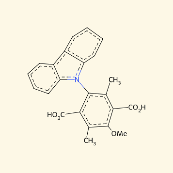 COc1c(C)c(C(=O)O)c(-n2c3ccccc3c3ccccc32)c(C)c1C(=O)O